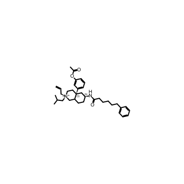 C=CC[N@@+]1(CC(C)C)CC[C@]2(c3cccc(OC(C)=O)c3)C[C@@H](NC(=O)CCCCCc3ccccc3)CCC2C1